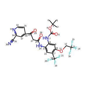 CC(C)(C)OC(=O)Nc1cc(OCC(F)(F)F)c(C(F)(F)F)cc1NC(=O)CC(=O)c1ccnc(C#N)c1